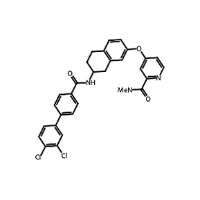 CNC(=O)c1cc(Oc2ccc3c(c2)CC(NC(=O)c2ccc(-c4ccc(Cl)c(Cl)c4)cc2)CC3)ccn1